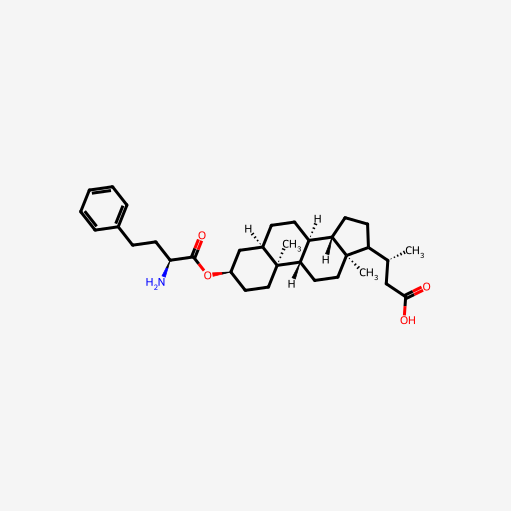 C[C@H](CC(=O)O)C1CC[C@H]2[C@@H]3CC[C@@H]4C[C@H](OC(=O)[C@@H](N)CCc5ccccc5)CC[C@]4(C)[C@H]3CC[C@]12C